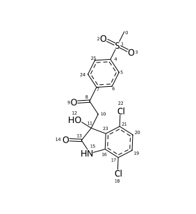 CS(=O)(=O)c1ccc(C(=O)CC2(O)C(=O)Nc3c(Cl)ccc(Cl)c32)cc1